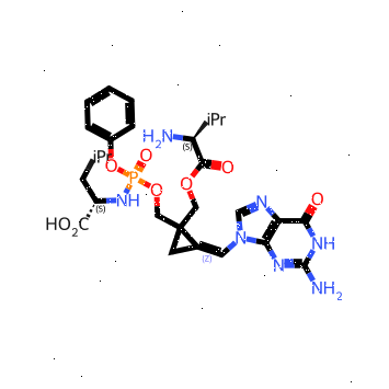 CC(C)C[C@H](NP(=O)(OCC1(COC(=O)[C@@H](N)C(C)C)C/C1=C/n1cnc2c(=O)[nH]c(N)nc21)Oc1ccccc1)C(=O)O